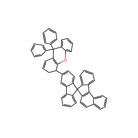 C1=CC2=C(Oc3ccccc3C2(c2ccccc2)c2ccccc2)C(c2ccc3c(c2)-c2ccccc2C32c3ccccc3-c3c2ccc2ccccc32)C1